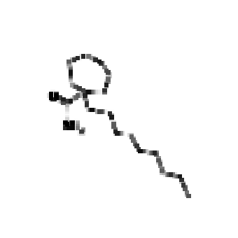 CCCCCCCCCC1(C(N)=O)CCCCCC1